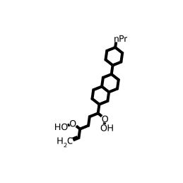 C=CC(CCC(OO)C1CCC2CC(C3CCC(CCC)CC3)CCC2C1)OO